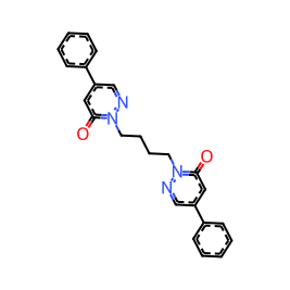 O=c1cc(-c2ccccc2)cnn1CCCCn1ncc(-c2ccccc2)cc1=O